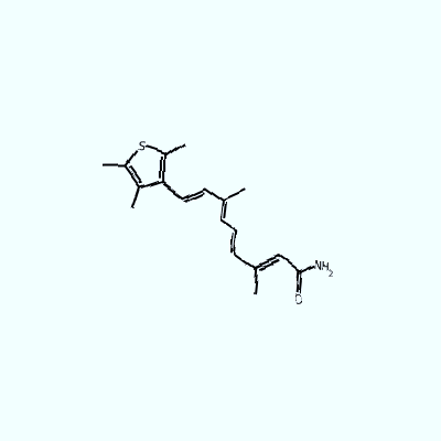 CC(C=Cc1c(C)sc(C)c1C)=CC=CC(C)=CC(N)=O